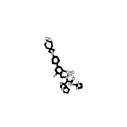 CN1CCC2(CC1)CN(c1ccc(-c3cc(F)c(CN(C)C(C(=O)Nc4nccs4)c4ncn5c4CCC5)c(C=O)c3)cc1)C2